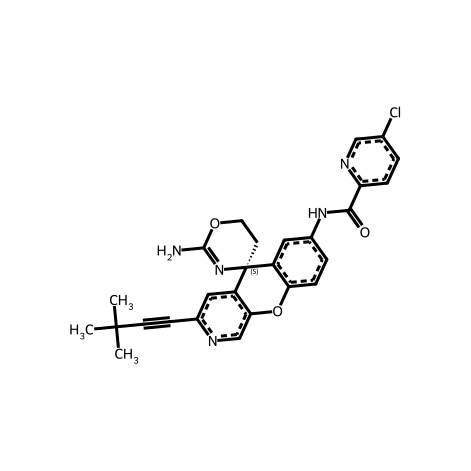 CC(C)(C)C#Cc1cc2c(cn1)Oc1ccc(NC(=O)c3ccc(Cl)cn3)cc1[C@@]21CCOC(N)=N1